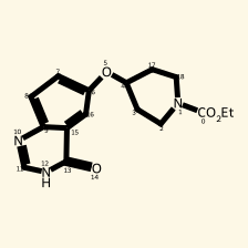 CCOC(=O)N1CCC(Oc2ccc3nc[nH]c(=O)c3c2)CC1